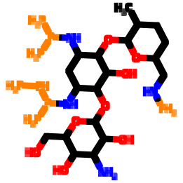 CC1CCC(CNP)OC1OC1C(NP(P)P)CC(NP(P)PP)C(OC2OC(CO)C(O)C(N)C2O)C1O